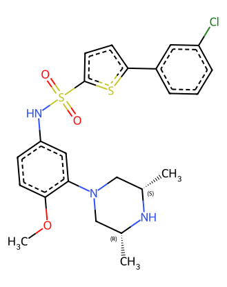 COc1ccc(NS(=O)(=O)c2ccc(-c3cccc(Cl)c3)s2)cc1N1C[C@@H](C)N[C@@H](C)C1